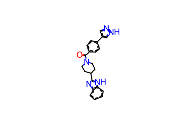 O=C(c1ccc(-c2cn[nH]c2)cc1)N1CCC(c2nc3ccccc3[nH]2)CC1